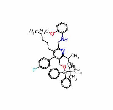 CCCCCc1c(CNc2ccccc2OC)nc(C(C)C)c(CO[Si](c2ccccc2)(c2ccccc2)C(C)(C)C)c1-c1ccc(F)cc1